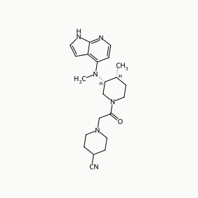 C[C@@H]1CCN(C(=O)CN2CCC(C#N)CC2)C[C@@H]1N(C)c1ccnc2[nH]ccc12